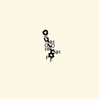 O=C(Nc1c[nH]c2cc(F)c(F)cc12)C(=O)N[C@H]1CCN(c2ccccc2)C1